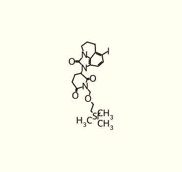 C[Si](C)(C)CCOCN1C(=O)CCC(n2c(=O)n3c4c(c(I)ccc42)CCC3)C1=O